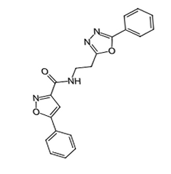 O=C(NCCc1nnc(-c2ccccc2)o1)c1cc(-c2ccccc2)on1